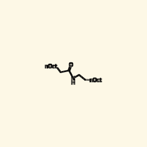 CCCCCCCCCCNC(=O)CCCCCCCCC